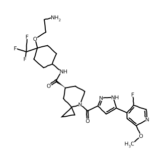 COc1cc(-c2cc(C(=O)N3CC[C@H](C(=O)NC4CCC(OCCN)(C(F)(F)F)CC4)CC34CC4)n[nH]2)c(F)cn1